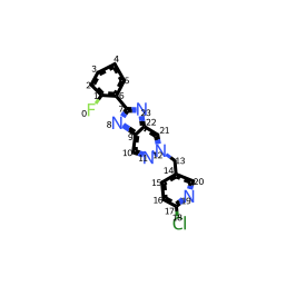 Fc1ccccc1-c1nc2cnn(Cc3ccc(Cl)nc3)cc-2n1